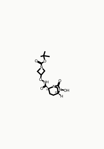 CC(C)(C)OC(=O)N1CC(ONC(=O)[C@@H]2CC[C@@H]3CN2C(=O)N3O)C1